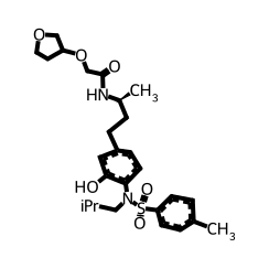 Cc1ccc(S(=O)(=O)N(CC(C)C)c2ccc(CC[C@H](C)NC(=O)COC3CCOC3)cc2O)cc1